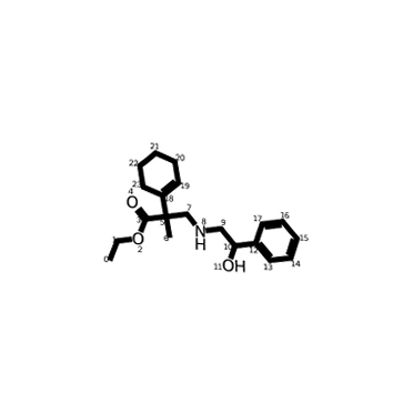 CCOC(=O)C(C)(CNCC(O)c1ccccc1)C1=CCCCC1